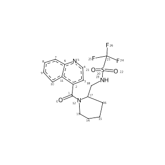 O=C(c1ccnc2ccccc12)N1CCCCC1CNS(=O)(=O)C(F)(F)F